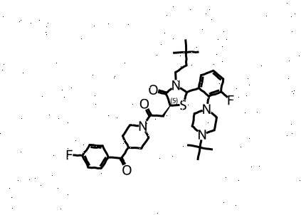 CC(C)(C)CCN1C(=O)[C@H](CC(=O)N2CCC(C(=O)c3ccc(F)cc3)CC2)SC1c1cccc(F)c1N1CCN(C(C)(C)C)CC1